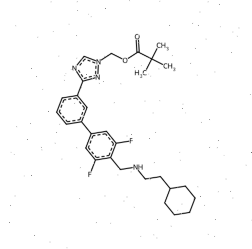 CC(C)(C)C(=O)OCn1cnc(-c2cccc(-c3cc(F)c(CNCCC4CCCCC4)c(F)c3)c2)n1